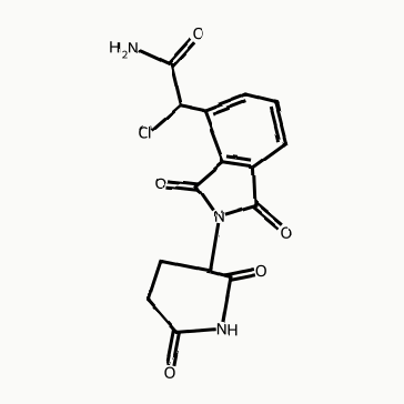 NC(=O)C(Cl)c1cccc2c1C(=O)N(C1CCC(=O)NC1=O)C2=O